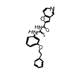 O=C(NC(=S)Nc1cccc(OCCc2ccccc2)c1)c1cc2cnccc2o1